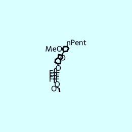 C=CC(=O)OCC(F)(F)C(F)(F)C(F)(F)COc1ccc2cc(-c3ccc(CCCCC)cc3OC)oc2c1